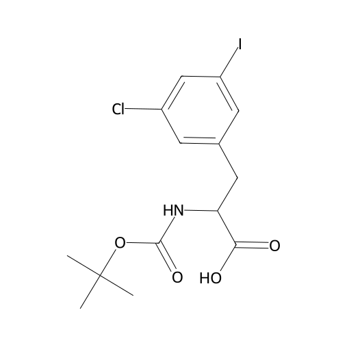 CC(C)(C)OC(=O)NC(Cc1cc(Cl)cc(I)c1)C(=O)O